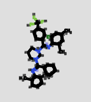 Cc1cc(C)c(/N=C(\c2ccc(C(F)(F)F)cc2)N2CCCN(/C(=N/c3c(C)cccc3C)c3ccccc3)C2)c(Cl)c1